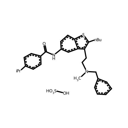 CCCCc1sc2ccc(NC(=O)c3ccc(C(C)C)cc3)cc2c1CCN(C)Cc1ccccc1.O=S(=O)(O)O